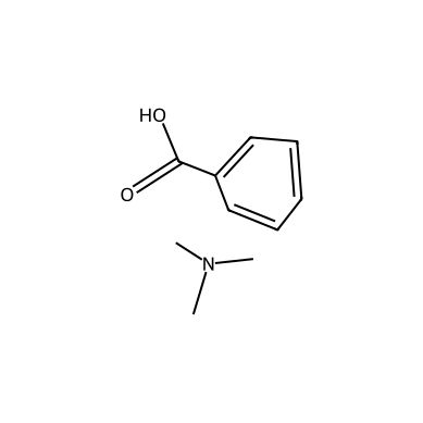 CN(C)C.O=C(O)c1ccccc1